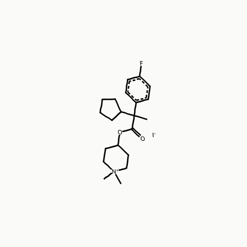 CC(C(=O)OC1CC[N+](C)(C)CC1)(c1ccc(F)cc1)C1CCCC1.[I-]